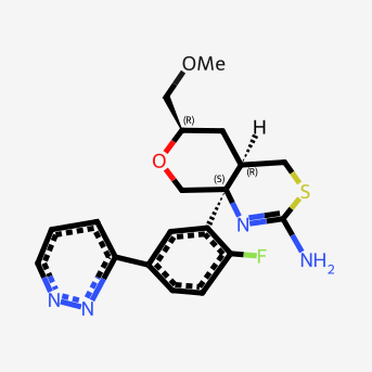 COC[C@H]1C[C@H]2CSC(N)=N[C@@]2(c2cc(-c3cccnn3)ccc2F)CO1